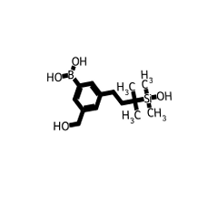 CC(C)(CCc1cc(CO)cc(B(O)O)c1)[Si](C)(C)O